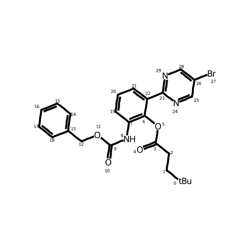 CC(C)(C)CCC(=O)Oc1c(NC(=O)OCc2ccccc2)cccc1-c1ncc(Br)cn1